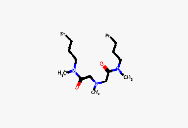 CC(C)CCCN(C)C(=O)CN(C)CC(=O)N(C)CCCC(C)C